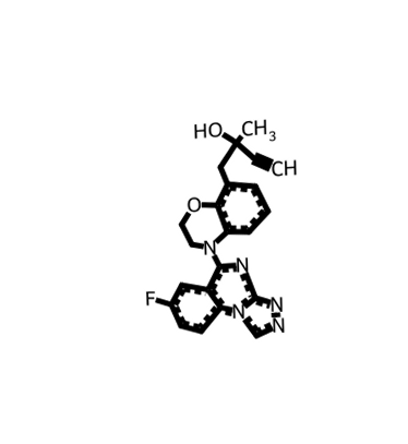 C#CC(C)(O)Cc1cccc2c1OCCN2c1nc2nncn2c2ccc(F)cc12